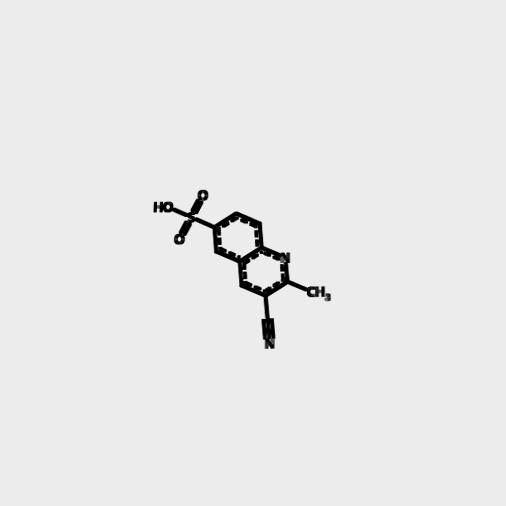 Cc1nc2ccc(S(=O)(=O)O)cc2cc1C#N